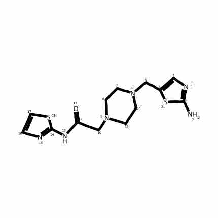 Nc1ncc(CN2CCN(CC(=O)Nc3nccs3)CC2)s1